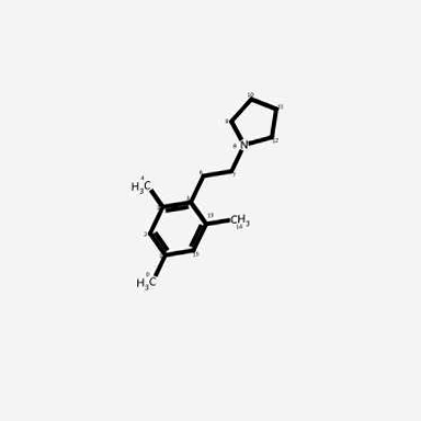 Cc1cc(C)c(CCN2CCCC2)c(C)c1